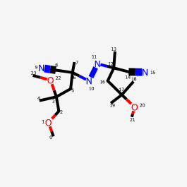 COCC(C)(CC(C)(C#N)N=NC(C)(C#N)CC(C)(C)OC)OC